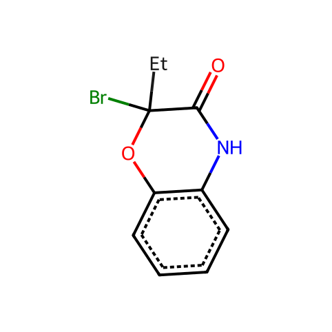 CCC1(Br)Oc2ccccc2NC1=O